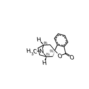 CN1[C@@H]2CC[C@H]1C[C@@]1(C2)OC(=O)c2ccccc21